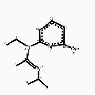 CCN(C(C)=NC(C)C)c1cccc(O)n1